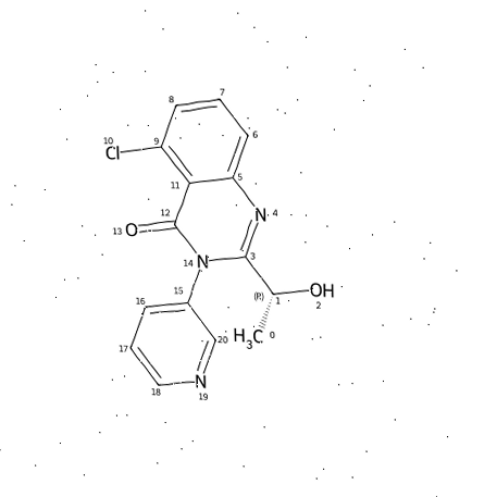 C[C@@H](O)c1nc2cccc(Cl)c2c(=O)n1-c1cccnc1